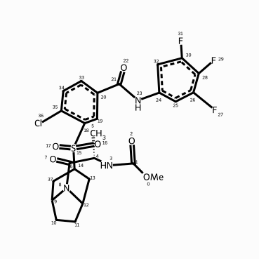 COC(=O)N[C@@H](C)C(=O)N1C2CCC1CC(S(=O)(=O)c1cc(C(=O)Nc3cc(F)c(F)c(F)c3)ccc1Cl)C2